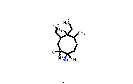 BC1(C)CC(CC)C(C)(CC)C(C)CCC1(C)N